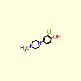 CN1CCN(c2ccc(O)c(Cl)c2)CC1